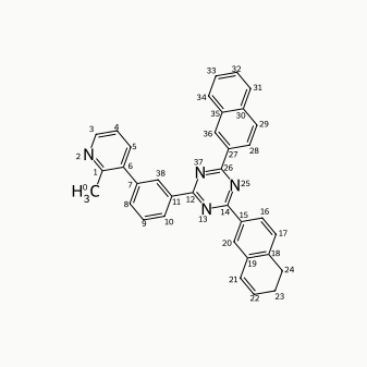 Cc1ncccc1-c1cccc(-c2nc(-c3ccc4c(c3)C=CCC4)nc(-c3ccc4ccccc4c3)n2)c1